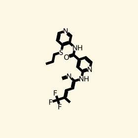 C=N/C(=C\C=C(/C)C(F)(F)F)Nc1cc(C(=O)Nc2cnccc2SCCC)ccn1